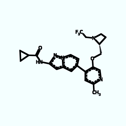 Cc1cc(-c2ccn3nc(NC(=O)C4CC4)cc3c2)c(OC[C@H]2CCN2CC(F)(F)F)cn1